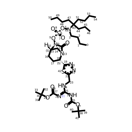 CCCCN(OS(=O)(=O)ON1C(=O)N2C[C@@H]1CC[C@H]2c1nnc(CN/C(=N\C(=O)OC(C)(C)C)NC(=O)OC(C)(C)C)s1)C(CCC)(CCCC)CCCC